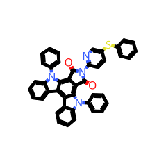 O=C1c2c(c3c(c4ccccc4n3-c3ccccc3)c3c4ccccc4n(-c4ccccc4)c23)C(=O)N1c1ccc(Sc2ccccc2)cn1